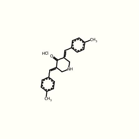 Cc1ccc(C=C2CNCC(=Cc3ccc(C)cc3)C2=O)cc1.Cl